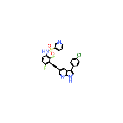 O=S(=O)(Nc1ccc(F)c(C#Cc2cnc3[nH]cc(-c4ccc(Cl)cc4)c3c2)c1F)c1cccnc1